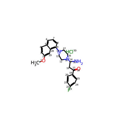 COc1ccc2cccc(N3CCN(C(N)CC(=O)c4ccc(F)cc4)CC3)c2c1.Cl